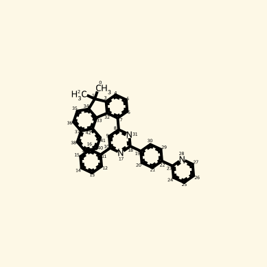 CC1(C)c2cccc(-c3cc(-c4ccccc4)nc(-c4ccc(-c5ccccn5)cc4)n3)c2-c2c1ccc1ccccc21